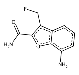 NC(=O)c1oc2c(N)cccc2c1CF